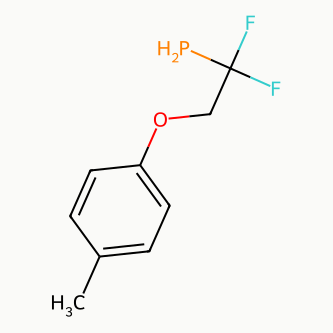 Cc1ccc(OCC(F)(F)P)cc1